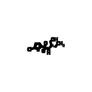 CC[C@@H](CO)NS(=O)(=O)c1ccc(Cl)s1